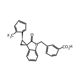 O=C(O)c1cccc(CN2C(=O)[C@]3(C[C@H]3c3ccccc3C(F)(F)F)c3ccccc32)c1